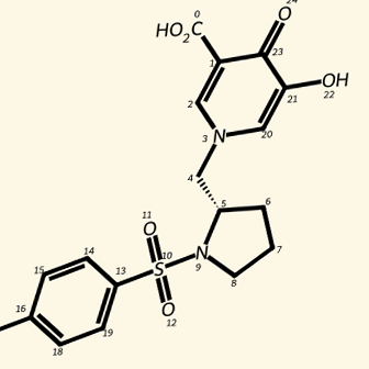 O=C(O)c1cn(C[C@@H]2CCCN2S(=O)(=O)c2ccc(F)cc2)cc(O)c1=O